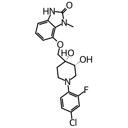 Cn1c(=O)[nH]c2cccc(OC[C@]3(O)CCN(c4ccc(Cl)cc4F)C[C@H]3O)c21